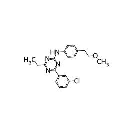 CCc1nc(Nc2ccc(CCOC)cc2)nc(-c2cccc(Cl)c2)n1